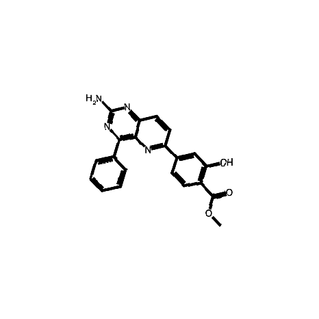 COC(=O)c1ccc(-c2ccc3nc(N)nc(-c4ccccc4)c3n2)cc1O